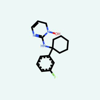 ON1CC=CN=C1NC1(c2cccc(F)c2)CCCCC1